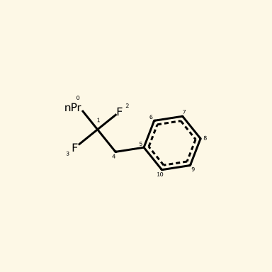 [CH2]CCC(F)(F)Cc1ccccc1